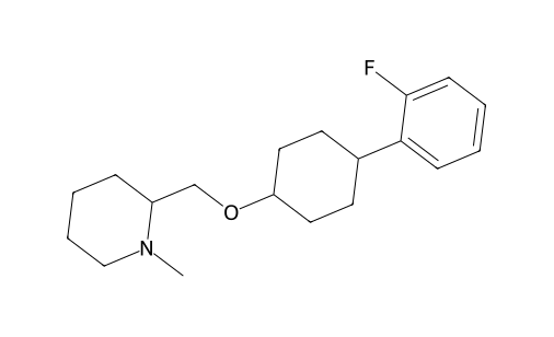 CN1CCCCC1COC1CCC(c2ccccc2F)CC1